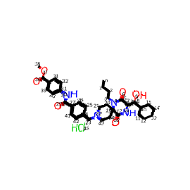 CCCCN1C(=O)[C@@H]([C@H](O)C2CCCCC2)NC(=O)C12CCN(Cc1ccc(C(=O)Nc3ccc(C(=O)OC)cc3)cc1)CC2.Cl